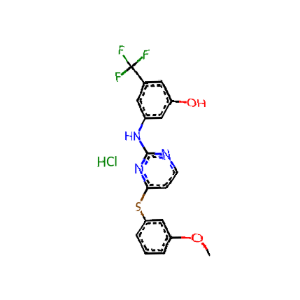 COc1cccc(Sc2ccnc(Nc3cc(O)cc(C(F)(F)F)c3)n2)c1.Cl